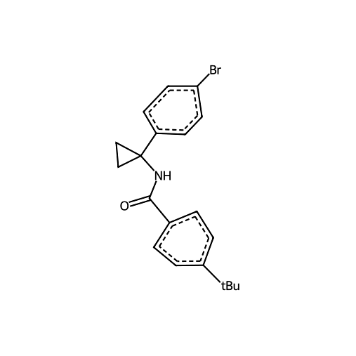 CC(C)(C)c1ccc(C(=O)NC2(c3ccc(Br)cc3)CC2)cc1